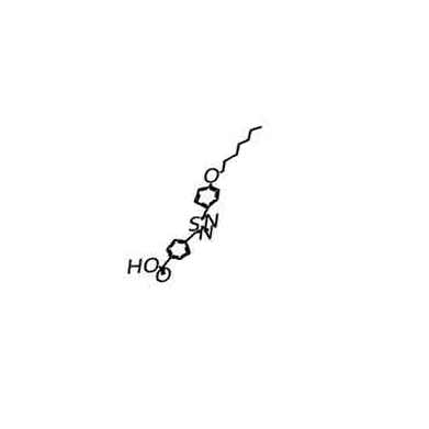 CCCCCCCOc1ccc(-c2nnc(-c3ccc(C(=O)O)cc3)s2)cc1